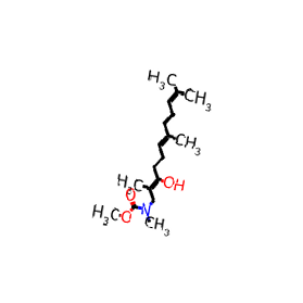 COC(=O)N(C)C/C(C)=C(\O)CC/C=C(\C)CCC=C(C)C